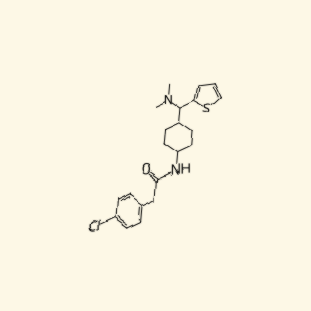 CN(C)C(c1cccs1)C1CCC(NC(=O)Cc2ccc(Cl)cc2)CC1